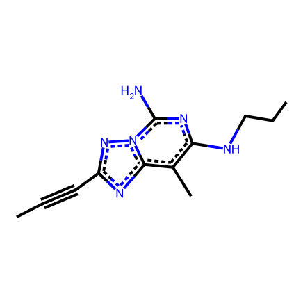 CC#Cc1nc2c(C)c(NCCC)nc(N)n2n1